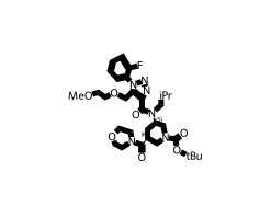 COCCOCc1c(C(=O)N(CC(C)C)[C@H]2C[C@@H](C(=O)N3CCOCC3)CN(C(=O)OC(C)(C)C)C2)nnn1-c1ccccc1F